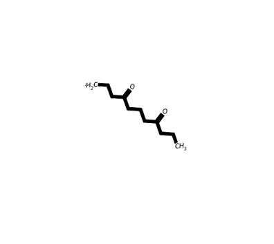 [CH2]CCC(=O)CCCC(=O)CCC